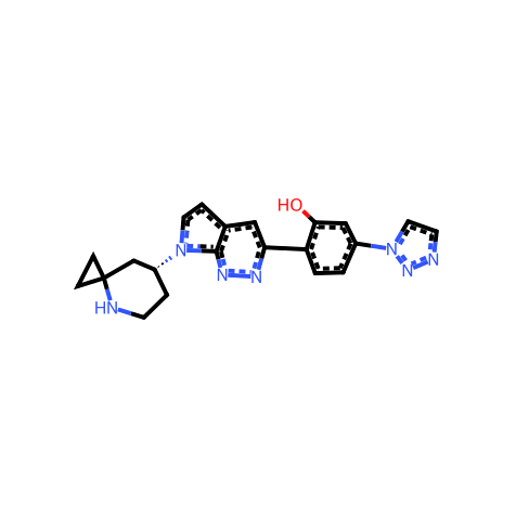 Oc1cc(-n2ccnn2)ccc1-c1cc2ccn([C@@H]3CCNC4(CC4)C3)c2nn1